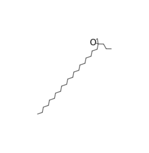 CCCCCCCCCCCCCCCCCCCCC1(CCC)CO1